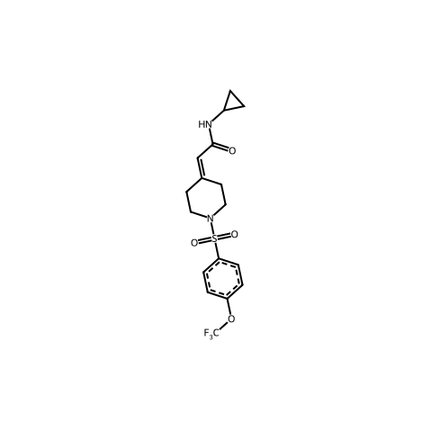 O=C(C=C1CCN(S(=O)(=O)c2ccc(OC(F)(F)F)cc2)CC1)NC1CC1